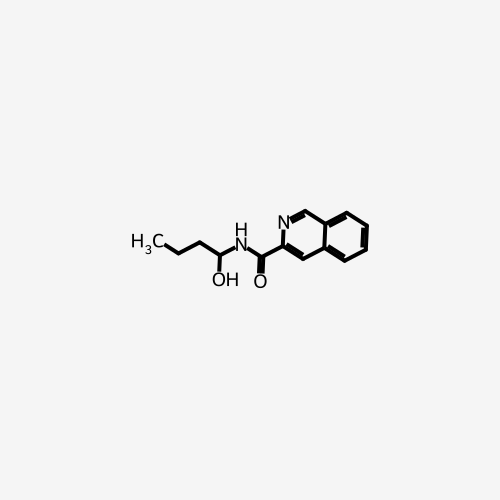 CCCC(O)NC(=O)c1cc2ccccc2cn1